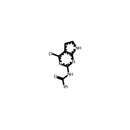 CC(C)C(=O)Nc1nc(Cl)c2cc[nH]c2n1